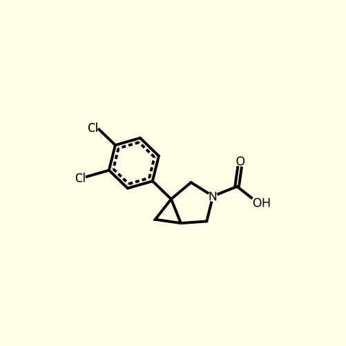 O=C(O)N1CC2CC2(c2ccc(Cl)c(Cl)c2)C1